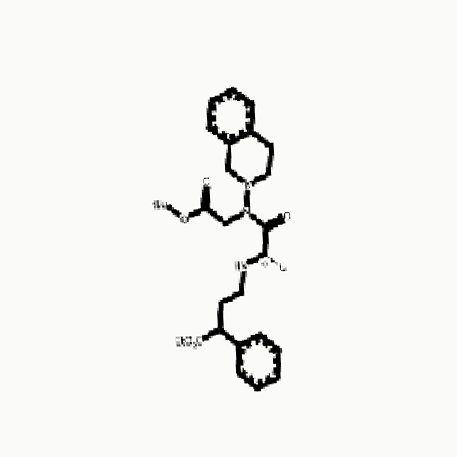 CCOC(=O)C(CCN[C@@H](C)C(=O)N(CC(=O)OC(C)(C)C)N1CCc2ccccc2C1)c1ccccc1